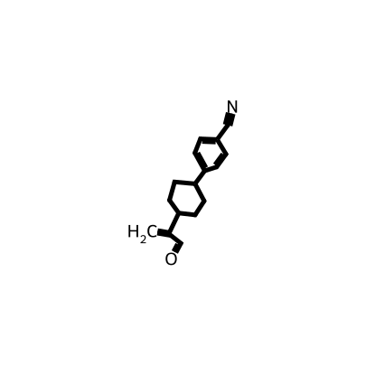 C=C(C=O)C1CCC(c2ccc(C#N)cc2)CC1